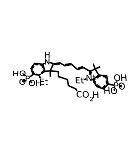 CCc1c(P(=O)(O)O)ccc2c1C(C)(CCCCCC(=O)O)C(=CC=CC=CC1=[N+](CC)c3ccc(P(=O)(O)O)cc3C1(C)C)N2